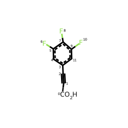 O=C(O)C#Cc1cc(F)c(F)c(F)c1